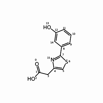 O=C(O)Cc1csc(-c2cccc(O)c2)n1